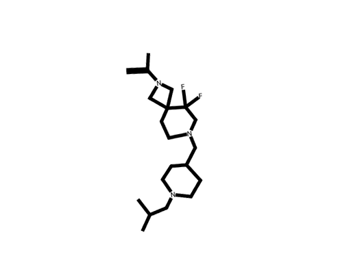 C=C(C)N1CC2(CCN(CC3CCN(CC(C)C)CC3)CC2(F)F)C1